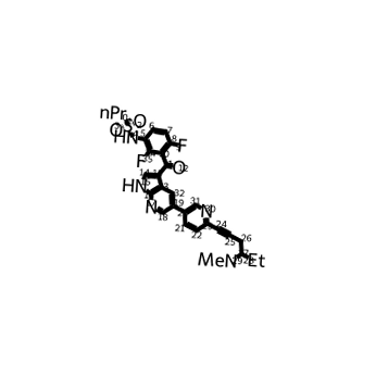 CCCS(=O)(=O)Nc1ccc(F)c(C(=O)c2c[nH]c3ncc(-c4ccc(C#CCC(CC)NC)nc4)cc23)c1F